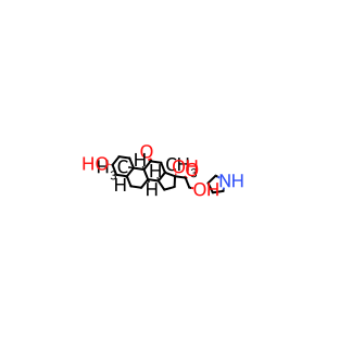 C1CCNC1.C[C@]12CC[C@@H](O)C[C@H]1CC[C@@H]1[C@@H]2C(=O)C[C@@]2(C)[C@H]1CC[C@]2(O)C(=O)CO